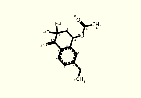 CCc1ccc2c(c1)C(OC(C)=O)CC(F)(F)C2=O